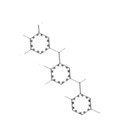 CCC(C)c1ccc(O)c(C(C)c2cc(C(C)c3cc(C(C)(C)C)c(O)c(C(C)(C)C)c3)c(O)c(C(C)(C)C)c2)c1